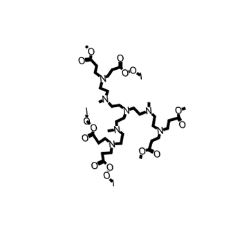 COC(=O)CCN(CCC(=O)OC)CCN(C)CCN(CCN(C)CCN(CCC(=O)OC)CCC(=O)OOI)CCN(C)CCN(CCC(=O)OOI)CCC(=O)OOI